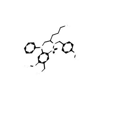 CCCCC1CN(c2ccccc2)c2cc(SC)c(CO)cc2S(=O)(=O)N1Cc1ccc(OC)cc1